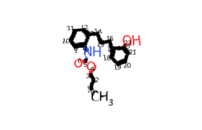 CCCCOC(=O)Nc1ccccc1CCCc1ccccc1O